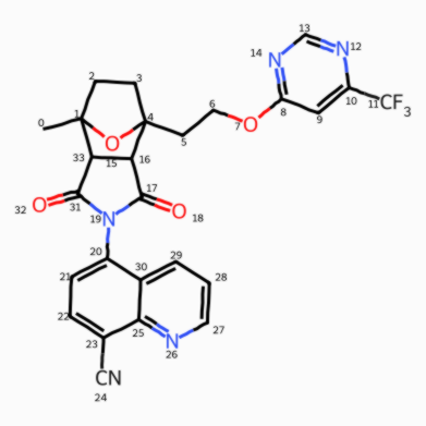 CC12CCC(CCOc3cc(C(F)(F)F)ncn3)(O1)C1C(=O)N(c3ccc(C#N)c4ncccc34)C(=O)C12